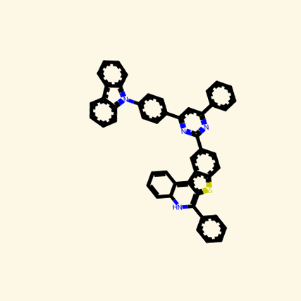 C1=CC2=c3c(sc4ccc(-c5nc(-c6ccccc6)cc(-c6ccc(-n7c8ccccc8c8ccccc87)cc6)n5)cc34)=C(c3ccccc3)NC2C=C1